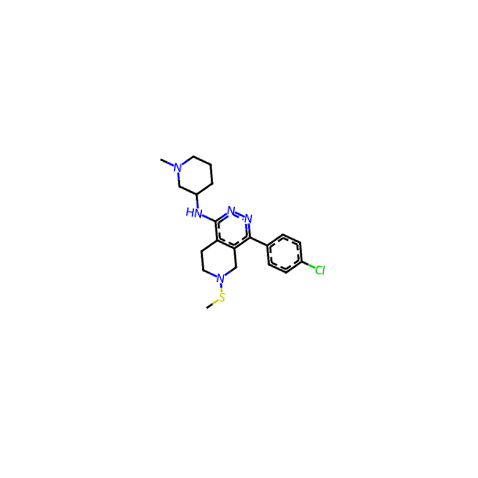 CSN1CCc2c(NC3CCCN(C)C3)nnc(-c3ccc(Cl)cc3)c2C1